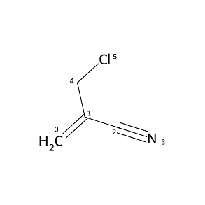 C=C(C#N)CCl